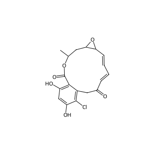 CC1CC2OC2/C=C/C=C/C(=O)Cc2c(Cl)c(O)cc(O)c2C(=O)O1